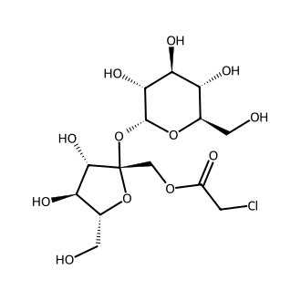 O=C(CCl)OC[C@@]1(O[C@H]2O[C@H](CO)[C@@H](O)[C@H](O)[C@H]2O)O[C@H](CO)[C@@H](O)[C@@H]1O